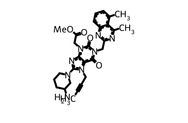 CC#CCn1c(N2CCCC(N)C2)nc2c1c(=O)n(Cc1nc(C)c3c(C)cccc3n1)c(=O)n2CC(=O)OC